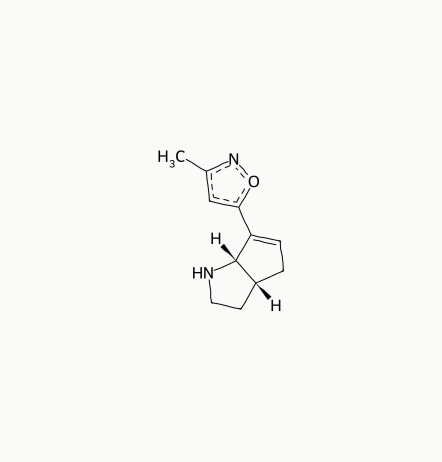 Cc1cc(C2=CC[C@@H]3CCN[C@H]23)on1